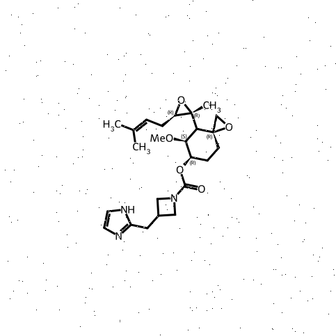 CO[C@H]1C([C@@]2(C)O[C@@H]2CC=C(C)C)[C@]2(CC[C@H]1OC(=O)N1CC(Cc3ncc[nH]3)C1)CO2